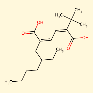 CCCCC(CC)CC(=CC=C(C(=O)O)C(C)(C)C)C(=O)O